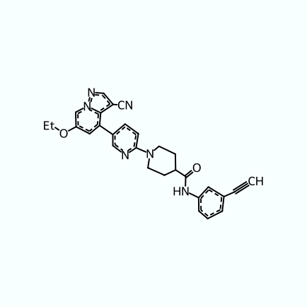 C#Cc1cccc(NC(=O)C2CCN(c3ccc(-c4cc(OCC)cn5ncc(C#N)c45)cn3)CC2)c1